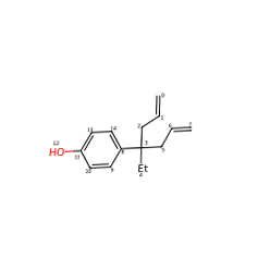 C=CCC(CC)(CC=C)c1ccc(O)cc1